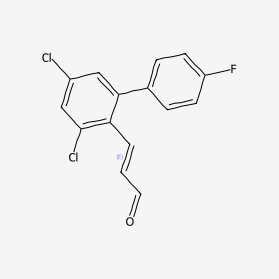 O=C/C=C/c1c(Cl)cc(Cl)cc1-c1ccc(F)cc1